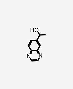 C[C](O)c1ccc2nccnc2c1